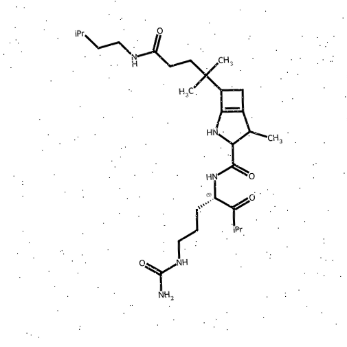 CC(C)CCNC(=O)CCC(C)(C)C1CC2=C1NC(C(=O)N[C@@H](CCCNC(N)=O)C(=O)C(C)C)C2C